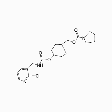 O=C(NCc1cccnc1Cl)OC1CCC(COC(=O)N2CCCC2)CC1